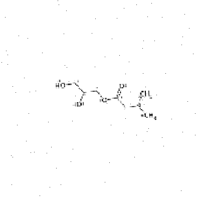 CC(C)CC(=O)OCC(O)CO